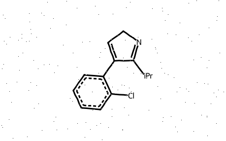 CC(C)C1=NCC=C1c1ccccc1Cl